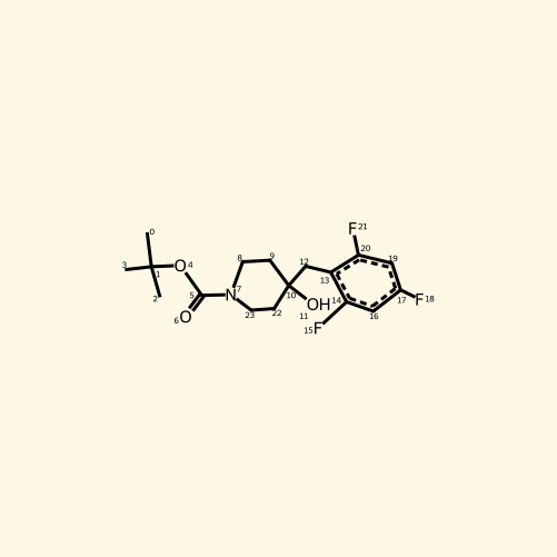 CC(C)(C)OC(=O)N1CCC(O)(Cc2c(F)cc(F)cc2F)CC1